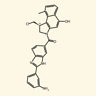 Cc1cccc2c(O)cc3c(c12)[C@H](CCl)CN3C(=O)c1ccc2nc(-c3cccc(N)c3)[nH]c2c1